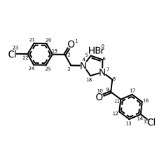 Br.O=C(CN1C=CN(CC(=O)c2ccc(Cl)cc2)C1)c1ccc(Cl)cc1